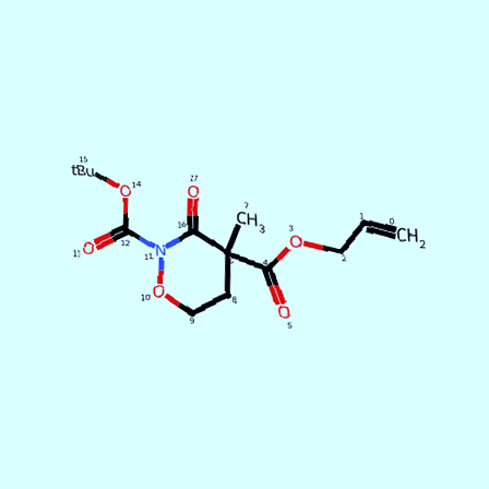 C=CCOC(=O)C1(C)CCON(C(=O)OC(C)(C)C)C1=O